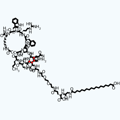 CCCC[C@H](NC(=O)[C@H](CN)NC(=O)[C@H](Cc1c[nH]cn1)NC(=O)[C@H](CCC(N)=O)NC(=O)[C@H](CO)NC(=O)CNC(=O)COCCOCCNC(=O)CC[C@H](NC(=O)CNC(=O)CCCCCCCCCCCCCCCCC(=O)O)C(=O)O)C(=O)N[C@H]1CCC(=O)NCCCC[C@@H](C(N)=O)NC(=O)[C@H](Cc2c[nH]c3ccccc23)NC(=O)[C@H](CCCNC(=N)N)NC(=O)[C@@H](Cc2ccccc2)NC(=O)[C@@H]2C[C@@H](O)CN2C1=O